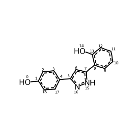 Oc1ccc(-c2cc(-c3ccccc3O)[nH]n2)cc1